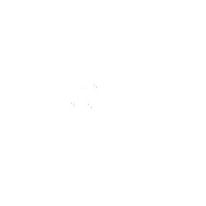 CC1Oc2ccccc2/C(=N/O)C1n1ccnc1